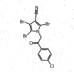 N#Cc1c(Br)c(Br)n(CC(=O)c2ccc(Cl)cc2)c1Br